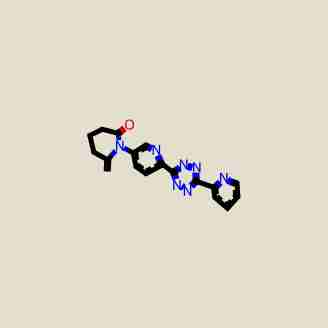 C=C1CCCC(=O)N1c1ccc(-c2nnc(-c3ccccn3)nn2)nc1